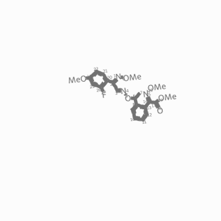 CON=C(C=NOC(C)c1ccccc1C(=NOC)C(=O)OC)c1ccc(OC)cc1F